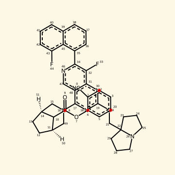 N#Cc1ccccc1OC(=O)C1[C@@H]2CC[C@H]1CN(c1nc(OCC34CCCN3CCC4)nc3c(F)c(-c4cccc5cccc(F)c45)ncc13)C2